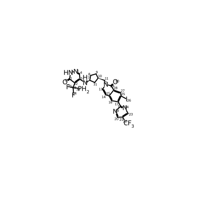 O=c1[nH]ncc(N[C@H]2CC[C@@H](Cn3ccc4cc(-c5ncc(C(F)(F)F)cn5)c(I)cc4c3=O)C2)c1C(F)(F)P